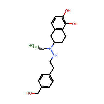 CCCCCCN(NCCc1ccc(CO)cc1)C1CCc2c(ccc(O)c2O)C1.Cl.Cl